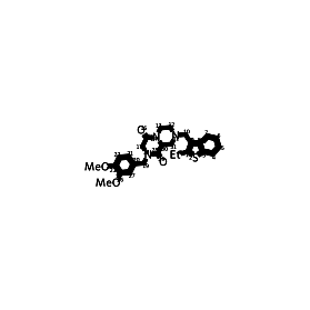 CCc1sc2ccccc2c1CN1CCN2C(=O)CN(Cc3ccc(OC)c(OC)c3)C(=O)C2C1